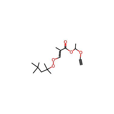 C#COC(C)OC(=O)C(C)=COOC(C)(C)CC(C)(C)C